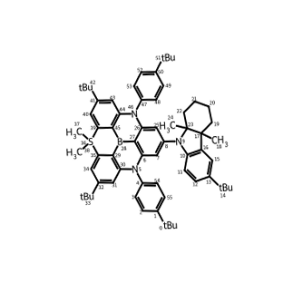 CC(C)(C)c1ccc(N2c3cc(N4c5ccc(C(C)(C)C)cc5C5(C)CCCCC45C)cc4c3B3c5c2cc(C(C)(C)C)cc5S(C)(C)c2cc(C(C)(C)C)cc(c23)N4c2ccc(C(C)(C)C)cc2)cc1